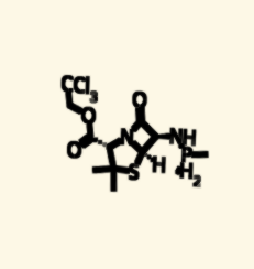 C[PH2](C)N[C@@H]1C(=O)N2[C@@H]1SC(C)(C)[C@@H]2C(=O)OCC(Cl)(Cl)Cl